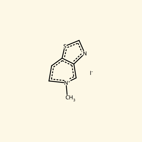 C[n+]1ccc2scnc2c1.[I-]